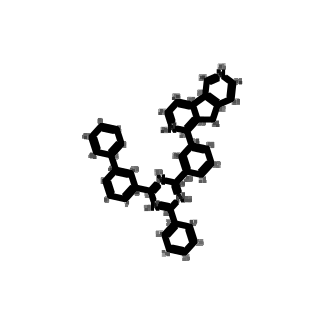 c1ccc(-c2cccc(-c3nc(-c4ccccc4)nc(-c4cccc(-c5nccc6c5Cc5ccncc5-6)c4)n3)c2)cc1